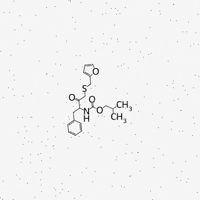 CC(C)COC(=O)NC(Cc1ccccc1)C(=O)CSCc1ccco1